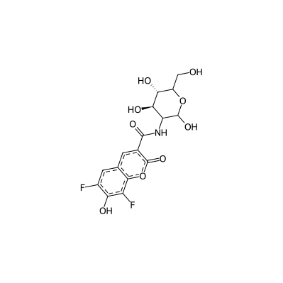 O=C(NC1C(O)OC(CO)[C@@H](O)[C@@H]1O)c1cc2cc(F)c(O)c(F)c2oc1=O